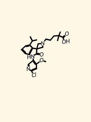 COc1cc(Cl)ncc1NC(=O)C1(c2ccccc2C(C)C)CN(CCCC(C)(C)C(=O)O)C1